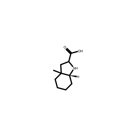 CC12CCCC[C@H]1NC(C(=O)O)C2